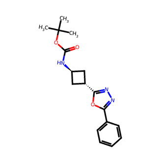 CC(C)(C)OC(=O)N[C@H]1C[C@H](c2nnc(-c3ccccc3)o2)C1